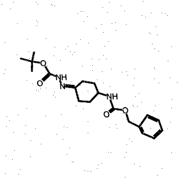 CC(C)(C)OC(=O)NN=C1CCC(NC(=O)OCc2ccccc2)CC1